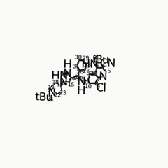 CC[C@@H](C)Nc1c(C#N)cnc2c(Cl)cc(N[C@H](C3=CN(C4CCN(C(C)(C)C)CC4)NN3)c3ccccc3)cc12